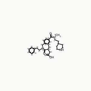 CN(CCC1CCNCC1)C(=O)c1ccc2c(c1)CC(CC(=O)O)C(=O)N(CCc1ccccc1)C2